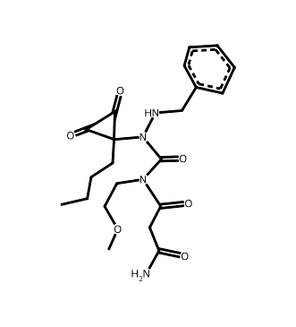 CCCCC1(N(NCc2ccccc2)C(=O)N(CCOC)C(=O)CC(N)=O)C(=O)C1=O